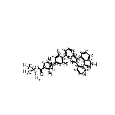 CC(C)(C)OC(=O)N1C[C@@H]2C[C@H]1CN2c1cc(F)c(-c2ccnc3c(-c4cccc5[nH]ncc45)c(-c4ccncc4)nn23)c(F)c1